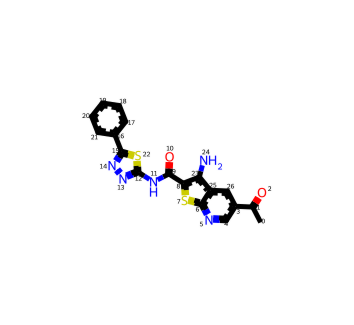 CC(=O)c1cnc2sc(C(=O)Nc3nnc(-c4ccccc4)s3)c(N)c2c1